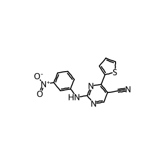 N#Cc1cnc(Nc2cccc([N+](=O)[O-])c2)nc1-c1cccs1